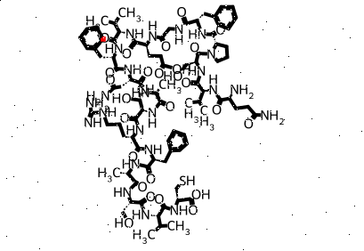 CC(C)[C@H](NC(=O)[C@H](CO)NC(=O)[C@H](C)NC(=O)[C@H](Cc1ccccc1)NC(=O)[C@H](CCCNC(=N)N)NC(=O)[C@@H](NC(=O)[C@H](C)NC(=O)[C@H](CC(N)=O)NC(=O)[C@H](Cc1ccccc1)NC(=O)[C@@H](NC(=O)[C@H](CCC(=O)O)NC(=O)CNC(=O)[C@H](Cc1ccccc1)NC(=O)[C@@H]1CCCN1C(=O)[C@H](CO)NC(=O)[C@@H](NC(=O)[C@@H](N)CCC(N)=O)C(C)C)C(C)C)[C@@H](C)O)C(=O)N[C@@H](CS)C(=O)O